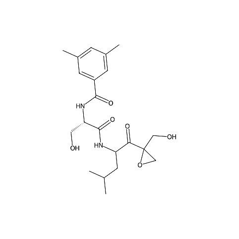 Cc1cc(C)cc(C(=O)N[C@@H](CO)C(=O)NC(CC(C)C)C(=O)C2(CO)CO2)c1